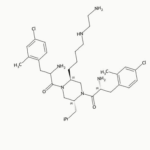 Cc1cc(Cl)ccc1CC(N)C(=O)N1C[C@@H](CC(C)C)N(C(=O)[C@H](N)Cc2ccc(Cl)cc2C)C[C@@H]1CCCCNCCN